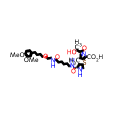 COc1ccc(CCCCOCCNC(=O)CCCCCNC(=O)[C@@H]2C[C@H](SC3=C(C(=O)O)N4C(=O)[C@H]([C@@H](C)O)C4[C@H]3C)CN2)cc1OC